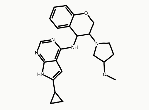 COC1CCN(C2COc3ccccc3C2Nc2ncnc3[nH]c(C4CC4)cc23)C1